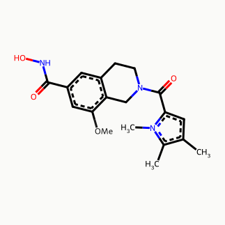 COc1cc(C(=O)NO)cc2c1CN(C(=O)c1cc(C)c(C)n1C)CC2